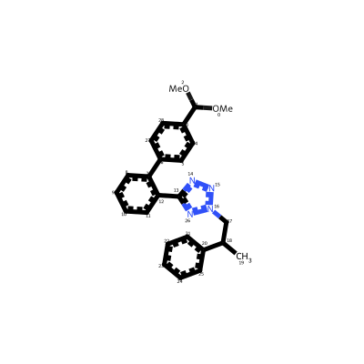 COC(OC)c1ccc(-c2ccccc2-c2nnn(CC(C)c3ccccc3)n2)cc1